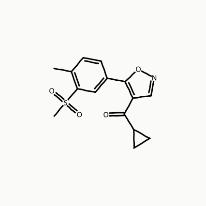 Cc1ccc(-c2oncc2C(=O)C2CC2)cc1S(C)(=O)=O